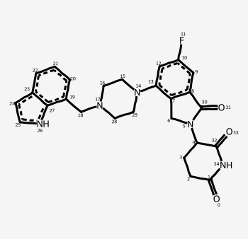 O=C1CCC(N2Cc3c(cc(F)cc3N3CCN(Cc4cccc5cc[nH]c45)CC3)C2=O)C(=O)N1